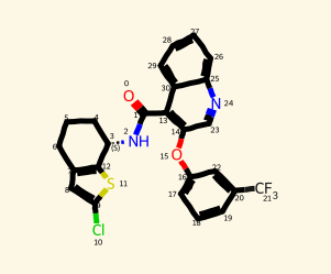 O=C(N[C@H]1CCCc2cc(Cl)sc21)c1c(Oc2cccc(C(F)(F)F)c2)cnc2ccccc12